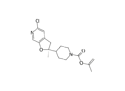 C=C(C)OC(=O)N1CCC([C@]2(C)Cc3cc(Cl)ncc3O2)CC1